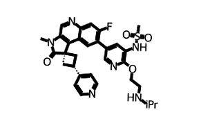 CC(C)NCCOc1ncc(-c2cc3c(cc2F)ncc2c3[C@]3(C[C@@H](c4ccncc4)C3)C(=O)N2C)cc1NS(C)(=O)=O